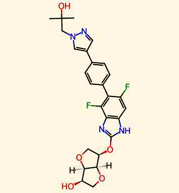 CC(C)(O)Cn1cc(-c2ccc(-c3c(F)cc4[nH]c(O[C@@H]5CO[C@H]6[C@@H]5OC[C@H]6O)nc4c3F)cc2)cn1